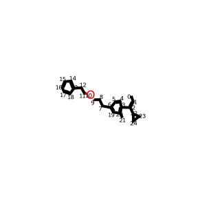 C/C=C(\c1ccc(CCCOCCc2ccccc2)cc1C)C1CC1